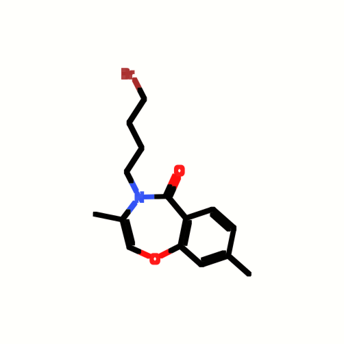 CC1=COc2cc(C)ccc2C(=O)N1CCCCBr